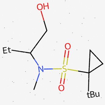 CCC(CO)N(C)S(=O)(=O)C1(C(C)(C)C)CC1